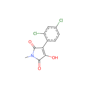 CN1C(=O)C(O)=C(c2ccc(Cl)cc2Cl)C1=O